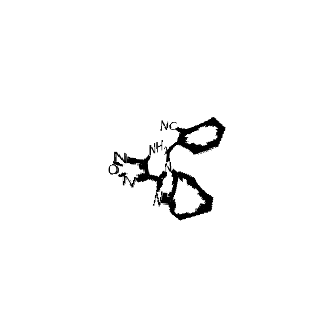 N#Cc1ccccc1Cn1c(-c2nonc2N)nc2ccccc21